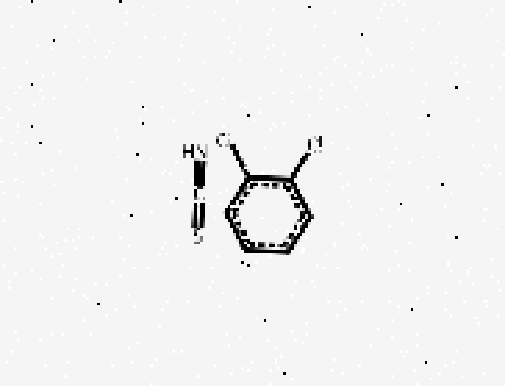 Clc1ccccc1Cl.N=C=S